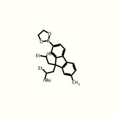 CCCCC(CC)CC1(CC(CC)CCCC)c2cc(C)ccc2-c2ccc(B3OCCO3)cc21